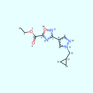 CCOC(=O)c1nc(-c2cnn(CC3CC3)c2)no1